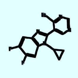 CCc1ncncc1-c1nc2cc(F)c(F)cc2n1C1CC1